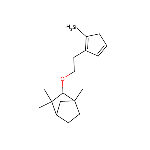 CC12CCC(C1)C(C)(C)C2OCCC1=C([SiH3])CC=C1